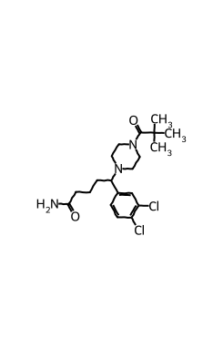 CC(C)(C)C(=O)N1CCN(C(CCCC(N)=O)c2ccc(Cl)c(Cl)c2)CC1